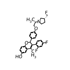 CC1=C(c2ccc(F)cc2F)C(c2ccc(OC[C@H](C)N3CC[C@@H](CF)C3)cc2)Oc2ccc(O)cc21